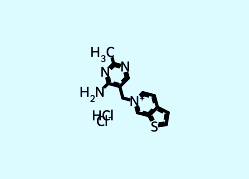 Cc1ncc(C[n+]2ccc3ccsc3c2)c(N)n1.Cl.[Cl-]